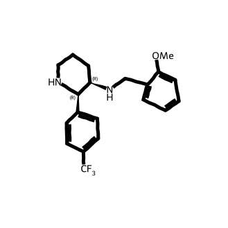 COc1ccccc1CN[C@@H]1CCCN[C@@H]1c1ccc(C(F)(F)F)cc1